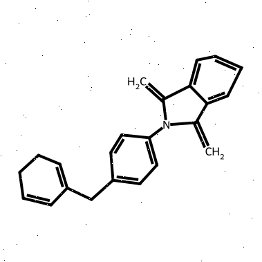 C=c1c2ccccc2c(=C)n1-c1ccc(CC2=CCCC=C2)cc1